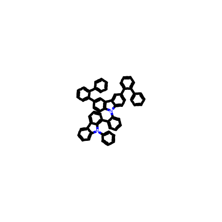 c1ccc(-c2ccccc2-c2ccc3c(c2)c2cc(-c4ccccc4-c4ccccc4)ccc2n3-c2ccccc2-c2cccc3c4ccccc4n(-c4ccccc4)c23)cc1